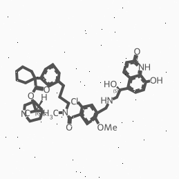 COc1cc(C(=O)N(C)CCCc2cccc(C3(C(=O)O[C@H]4CN5CCC4CC5)CCCCC3)c2)c(Cl)cc1CNC[C@@H](O)c1ccc(O)c2[nH]c(=O)ccc12